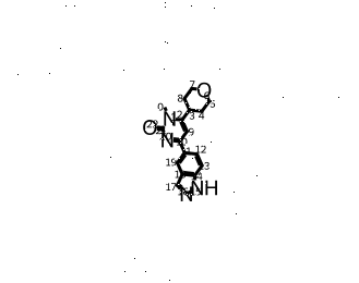 Cn1c(C2CCOCC2)cc(-c2ccc3[nH]ncc3c2)nc1=O